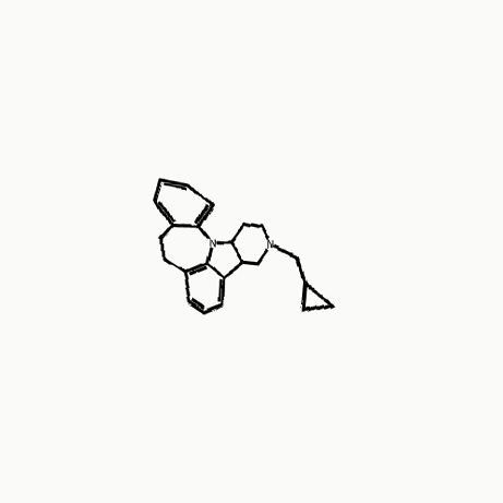 c1ccc2c(c1)CCc1cccc3c1N2C1CCN(CC2CC2)CC31